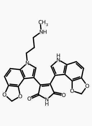 CNCCCn1cc(C2=C(c3c[nH]c4ccc5c(c34)OCO5)C(=O)NC2=O)c2c3c(ccc21)OCO3